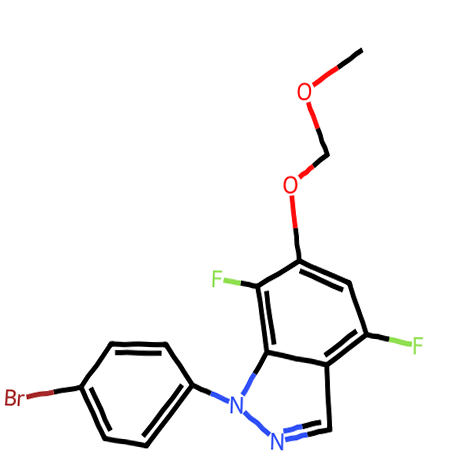 COCOc1cc(F)c2cnn(-c3ccc(Br)cc3)c2c1F